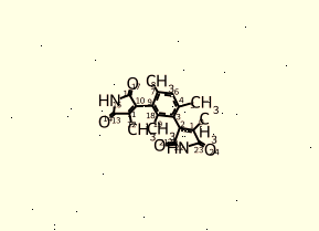 CC1=C(c2c(C)cc(C)c(C3=C(C)C(=O)NC3=O)c2C)C(=O)NC1=O